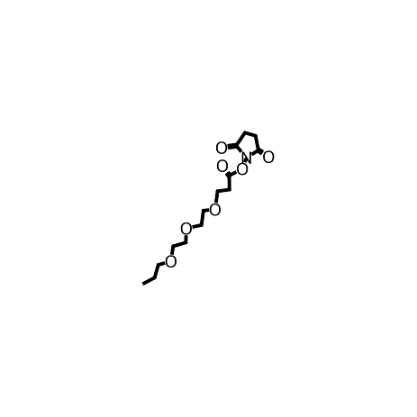 CCCOCCOCCOCCC(=O)ON1C(=O)CCC1=O